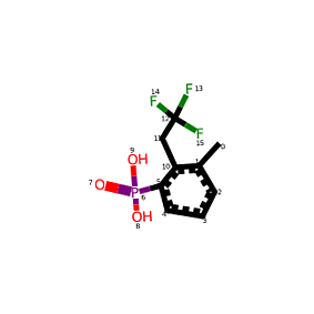 Cc1cccc(P(=O)(O)O)c1CC(F)(F)F